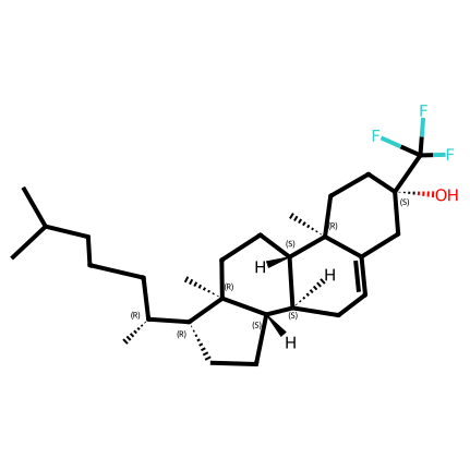 CC(C)CCC[C@@H](C)[C@H]1CC[C@H]2[C@@H]3CC=C4C[C@](O)(C(F)(F)F)CC[C@]4(C)[C@H]3CC[C@]12C